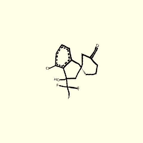 O=C1CCC[C@]2(C1)CC(O)(C(F)(F)F)c1c(Cl)cccc12